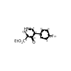 CCOC(=O)c1n[nH]cc(-c2ccc(F)cc2)c1=O